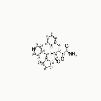 NC(=O)C(=O)C(Cc1ccccc1)NC(=O)[C@@H]1CCC(=O)N1Cc1ccncc1